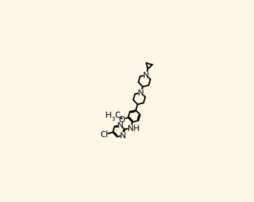 COc1cc(C2CCN(C3CCN(C4CC4)CC3)CC2)ccc1Nc1ncc(Cl)cn1